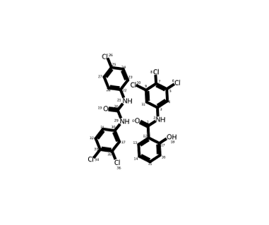 O=C(Nc1cc(Cl)c(Cl)c(Cl)c1)c1ccccc1O.O=C(Nc1ccc(Cl)cc1)Nc1ccc(Cl)c(Cl)c1